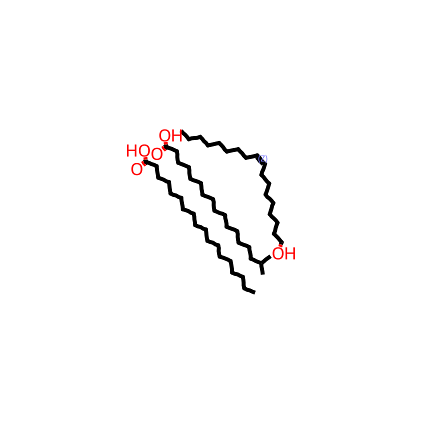 CC(C)CCCCCCCCCCCCCCC(=O)O.CCCCCCCC/C=C\CCCCCCCCO.CCCCCCCCCCCCCCCCCC(=O)O